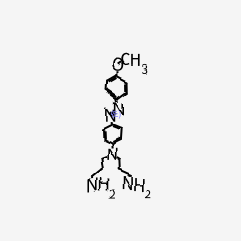 COc1ccc(/N=N/c2ccc(N(CCCN)CCCN)cc2)cc1